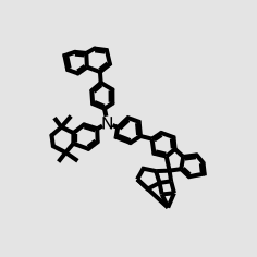 CC1(C)CCC(C)(C)c2cc(N(c3ccc(-c4ccc5c(c4)C4(c6ccccc6-5)C5CC6CC57C5C6C5C47)cc3)c3ccc(-c4cccc5ccccc45)cc3)ccc21